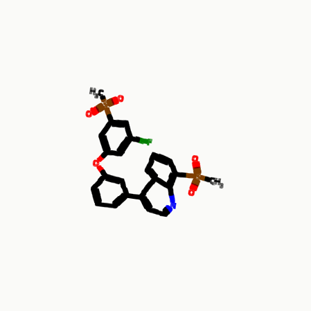 CS(=O)(=O)c1cc(F)cc(Oc2cccc(-c3ccnc4c(S(C)(=O)=O)cccc34)c2)c1